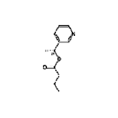 CCCC(=O)O[C@H](C)c1cccnc1